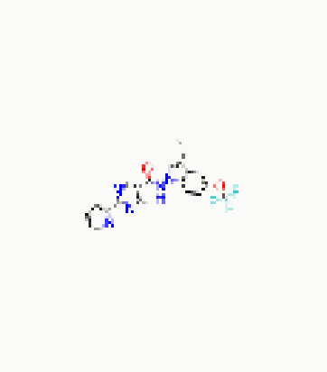 CCc1cn(NC(=O)c2cnc(-c3ccccn3)nc2C)c2ccc(OC(F)(F)F)cc12